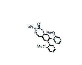 CCCN1N=Cc2cc(-c3ccccc3OC)c(-c3ccccc3OC)cc2CC1=O